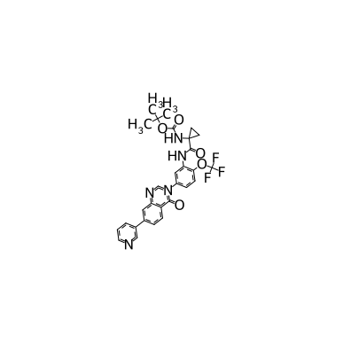 CC(C)(C)OC(=O)NC1(C(=O)Nc2cc(-n3cnc4cc(-c5cccnc5)ccc4c3=O)ccc2OC(F)(F)F)CC1